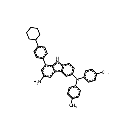 Cc1ccc(N(c2ccc(C)cc2)c2ccc3[nH]c4c(-c5ccc(C6CCCCC6)cc5)cc(N)cc4c3c2)cc1